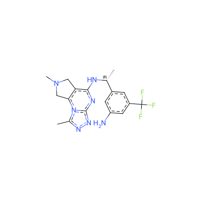 Cc1nnc2nc(N[C@H](C)c3cc(N)cc(C(F)(F)F)c3)c3c(n12)CN(C)C3